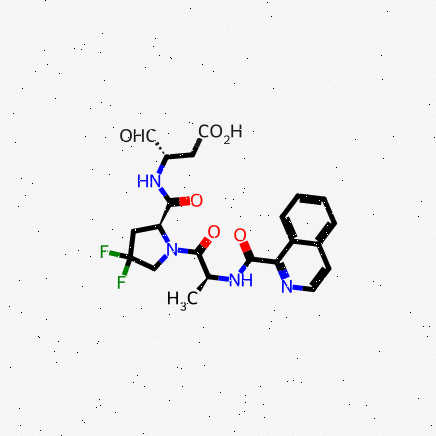 C[C@H](NC(=O)c1nccc2ccccc12)C(=O)N1CC(F)(F)C[C@H]1C(=O)N[C@H](C=O)CC(=O)O